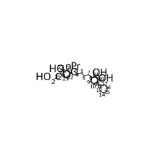 CCCc1c(OCCCCc2ccc(C3CCCCC3)c(O)c2O)ccc(C(=O)O)c1O